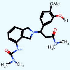 CCOc1cc(C(CC(=O)N(C)C)N2Cc3cccc(NC(=O)N(C)C)c3C2)ccc1OC